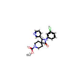 CC(C)(C)OC(=O)N1CCC2(CC1)C(=O)N(c1cccc(Cl)c1)C2c1cccnc1